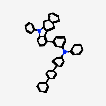 c1ccc(-c2ccc(-c3ccc(N(c4ccccc4)c4cccc(-c5cccc6c5c5cc7ccccc7cc5n6-c5ccccc5)c4)cc3)cc2)cc1